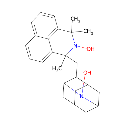 CC1(C)c2cccc3cccc(c23)C(C)(CC2C3CC4CC(C3)N(O)C2C4)N1O